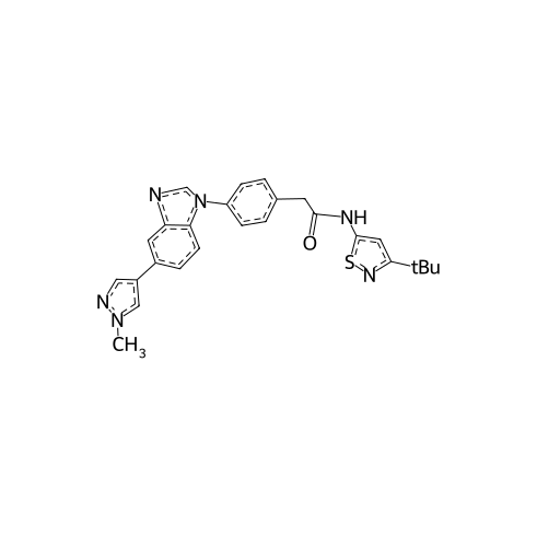 Cn1cc(-c2ccc3c(c2)ncn3-c2ccc(CC(=O)Nc3cc(C(C)(C)C)ns3)cc2)cn1